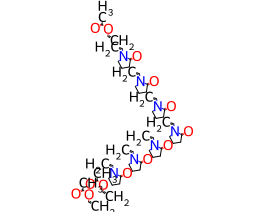 C=CN1CCCC1=O.C=CN1CCCC1=O.C=CN1CCCC1=O.C=CN1CCCC1=O.C=CN1CCCC1=O.C=CN1CCCC1=O.C=CN1CCCC1=O.C=COC(C)=O.C=COC(C)=O.C=COC(C)=O